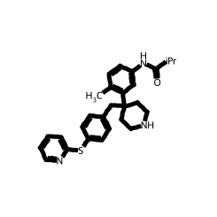 Cc1ccc(NC(=O)C(C)C)cc1C1(Cc2ccc(Sc3ccccn3)cc2)CCNCC1